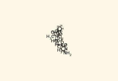 CC(NP(=O)(OC[C@@]1(F)O[C@@H](n2ccc(N)nc2=O)[C@](C)(F)[C@@H]1O)Oc1ccccc1)C(=O)O